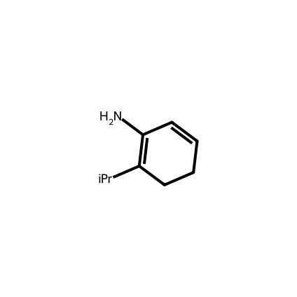 CC(C)C1=C(N)C=CCC1